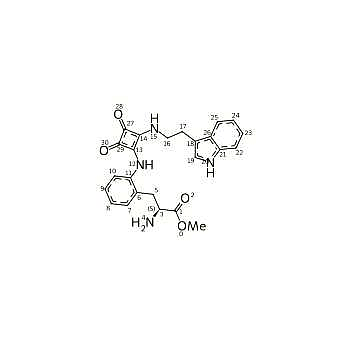 COC(=O)[C@@H](N)Cc1ccccc1Nc1c(NCCc2c[nH]c3ccccc23)c(=O)c1=O